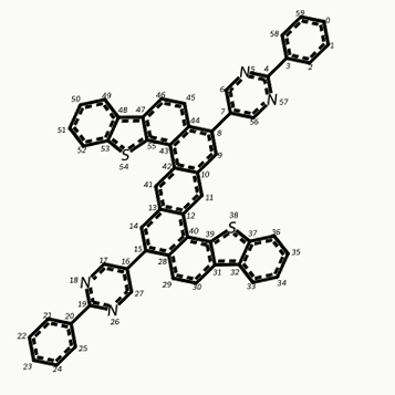 c1ccc(-c2ncc(-c3cc4cc5c(cc(-c6cnc(-c7ccccc7)nc6)c6ccc7c8ccccc8sc7c65)cc4c4c3ccc3c5ccccc5sc34)cn2)cc1